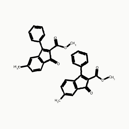 COC(=O)C1=C(c2ccccc2)c2cc(C)ccc2C1=O.COC(=O)C1=C(c2ccccc2)c2ccc(C)cc2C1=O